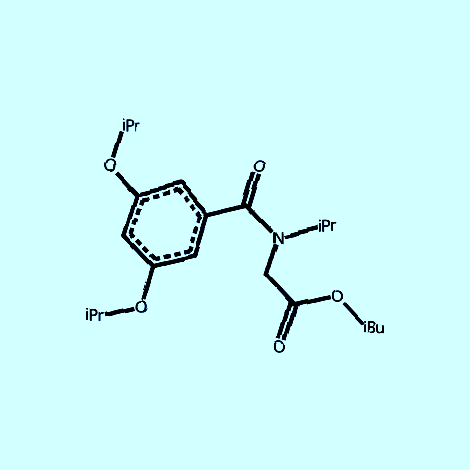 CCC(C)OC(=O)CN(C(=O)c1cc(OC(C)C)cc(OC(C)C)c1)C(C)C